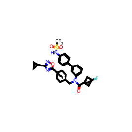 O=C(N(CC12CCC(c3nc(C4CC4)no3)(CC1)CC2)c1cccc(-c2ccc(NS(=O)(=O)C(F)(F)F)cc2)c1)C12CC(F)(C1)C2